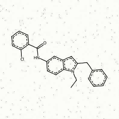 CCn1c(Cc2ccccc2)cc2cc(NC(=O)c3ccccc3Cl)ccc21